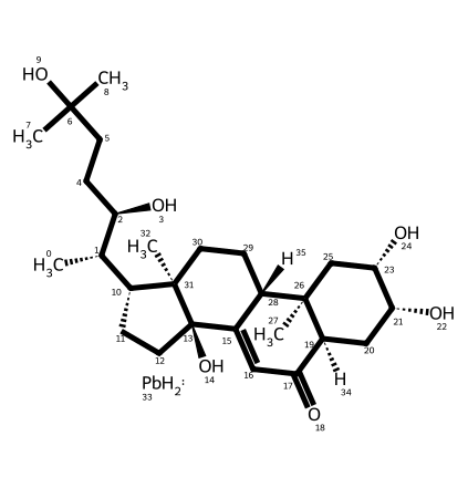 C[C@H]([C@H](O)CCC(C)(C)O)[C@H]1CC[C@@]2(O)C3=CC(=O)[C@@H]4C[C@@H](O)[C@@H](O)C[C@]4(C)[C@H]3CC[C@]12C.[PbH2]